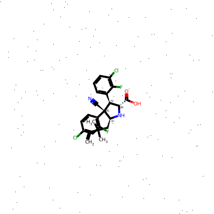 C=CC(C)(C)C[C@@H]1N[C@@H](C(=O)O)[C@H](c2cccc(Cl)c2F)[C@@]1(C#N)c1ccc(Cl)cc1F